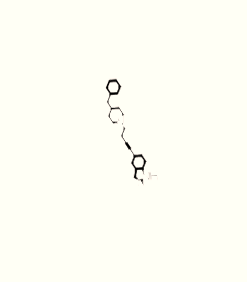 C(#Cc1ccc2[nH]ncc2c1)CCN1CCC(Cc2ccccc2)CC1